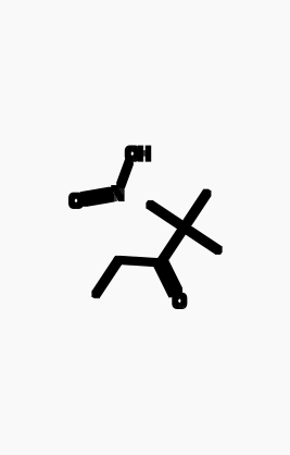 CCC(=O)C(C)(C)C.O=NO